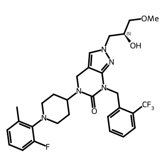 COC[C@@H](O)Cn1cc2c(n1)N(Cc1ccccc1C(F)(F)F)C(=O)N(C1CCN(c3c(C)cccc3F)CC1)C2